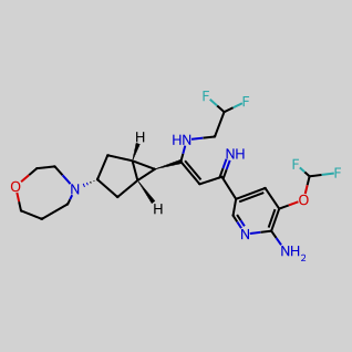 N=C(/C=C(\NCC(F)F)[C@H]1[C@@H]2C[C@H](N3CCCOCC3)C[C@@H]21)c1cnc(N)c(OC(F)F)c1